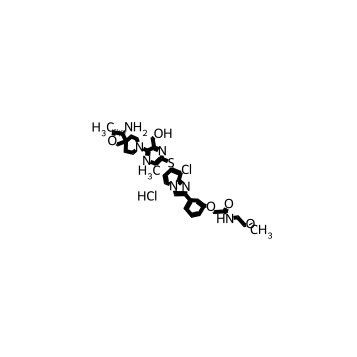 COCCNC(=O)COc1cccc(-c2cn3ccc(Sc4nc(CO)c(N5CCC6(CC5)CO[C@@H](C)[C@H]6N)nc4C)c(Cl)c3n2)c1.Cl